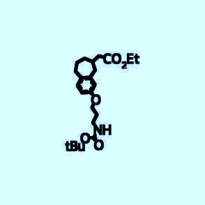 CCOC(=O)CC1CCCc2ccc(OCCCNC(=O)OC(C)(C)C)cc2C1